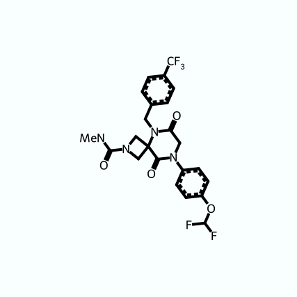 CNC(=O)N1CC2(C1)C(=O)N(c1ccc(OC(F)F)cc1)CC(=O)N2Cc1ccc(C(F)(F)F)cc1